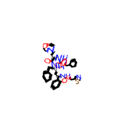 O=C(N[C@@H](CCN1CCOCC1)C(=O)N[C@H](CC[C@@H](NC(=O)OCc1cncs1)c1ccccc1)Cc1ccccc1)OCc1ccccc1